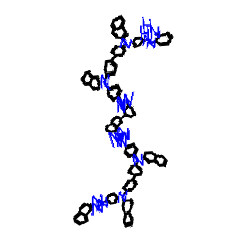 N=C1C=CC=C/C1=N/Nc1ccc(N(c2ccc(-c3ccc(N(c4ccc(-n5nc6cccc(-c7ccc8ccc9nn(-c%10ccc(N(c%11ccc(-c%12ccc(N(c%13ccc(-n%14nc%15ccc%16ccccc%16c%15n%14)cc%13)c%13ccc%14ccccc%14c%13)cc%12)cc%11)c%11ccc%12ccccc%12c%11)cc%10)nc9c8c7)c6n5)cc4)c4ccc5ccccc5c4)cc3)cc2)c2ccc3ccccc3c2)cc1